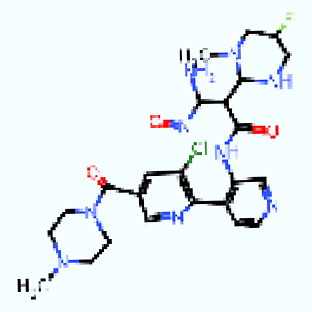 CN1CCN(C(=O)c2cnc(-c3ccncc3NC(=O)C(C(N)N=O)C3NCC(F)CN3C)c(Cl)c2)CC1